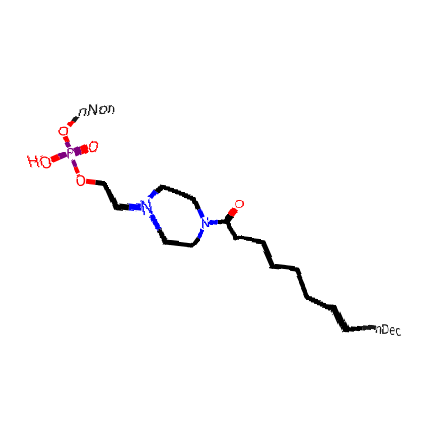 CCCCCCCCCCCCCCCCCC(=O)N1CCN(CCOP(=O)(O)OCCCCCCCCC)CC1